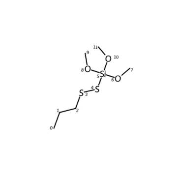 CCCSS[Si](OC)(OC)OC